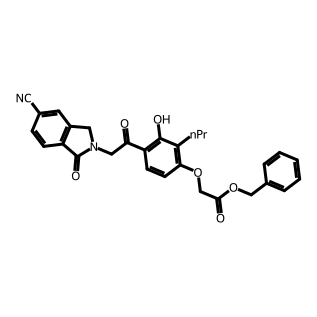 CCCc1c(OCC(=O)OCc2ccccc2)ccc(C(=O)CN2Cc3cc(C#N)ccc3C2=O)c1O